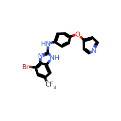 FC(F)(F)c1cc(Br)c2nc(Nc3ccc(Oc4ccncc4)cc3)[nH]c2c1